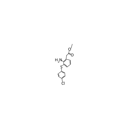 CCOC(=O)Cc1cccc(Sc2ccc(Cl)cc2)c1N